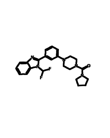 O=C(N1CCCC1)N1CCN(c2cccc(-c3nc4ccccc4n3C(F)F)c2)CC1